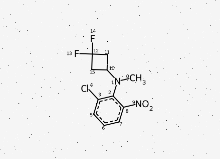 CN(c1c(Cl)cccc1[N+](=O)[O-])C1CC(F)(F)C1